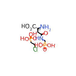 N[C@H](CC(=O)NCP(=O)(O)O)C(=O)O.O=P(O)(O)CCCl